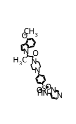 COc1cccc2c1ccn2C(C)C(=O)N1CCN(c2ccc(S(=O)(=O)Nc3ccncn3)cc2)CC1